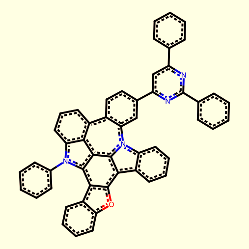 c1ccc(-c2cc(-c3ccc4c5cccc6c5c5c(c7c8ccccc8oc7c7c8ccccc8n(c4c3)c75)n6-c3ccccc3)nc(-c3ccccc3)n2)cc1